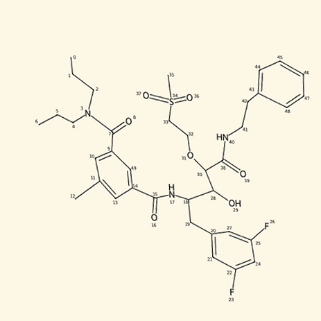 CCCN(CCC)C(=O)c1cc(C)cc(C(=O)NC(Cc2cc(F)cc(F)c2)C(O)C(OCCS(C)(=O)=O)C(=O)NCCc2ccccc2)c1